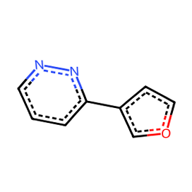 c1cnnc(-c2ccoc2)c1